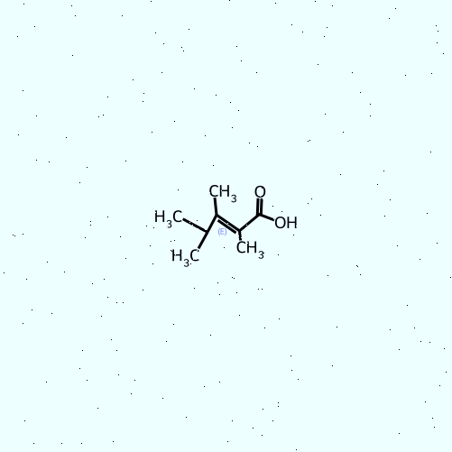 C/C(C(=O)O)=C(/C)C(C)C